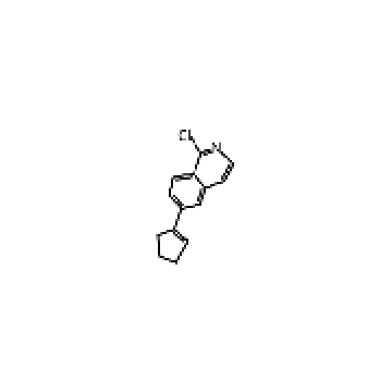 Clc1nccc2cc(C3=CCCC3)ccc12